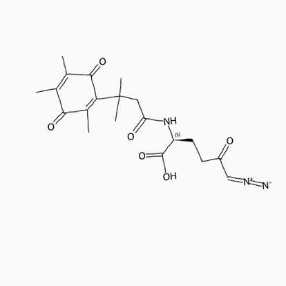 CC1=C(C)C(=O)C(C(C)(C)CC(=O)N[C@@H](CCC(=O)C=[N+]=[N-])C(=O)O)=C(C)C1=O